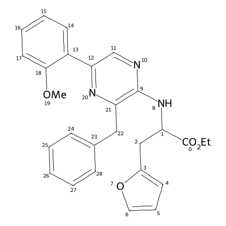 CCOC(=O)C(Cc1ccco1)Nc1ncc(-c2ccccc2OC)nc1Cc1ccccc1